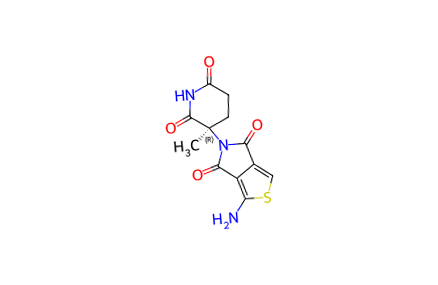 C[C@@]1(N2C(=O)c3csc(N)c3C2=O)CCC(=O)NC1=O